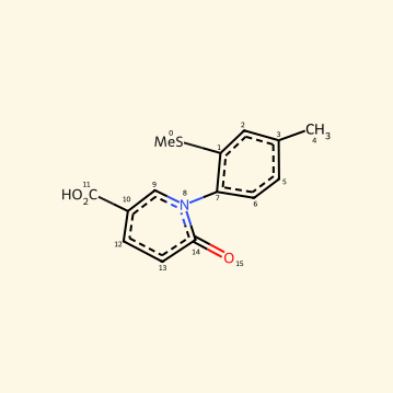 CSc1cc(C)ccc1-n1cc(C(=O)O)ccc1=O